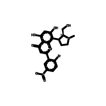 CN1CCC(c2c(O)cc(O)c3c(=O)cc(-c4cc([N+](=O)[O-])ccc4Br)oc23)[C@H]1CO